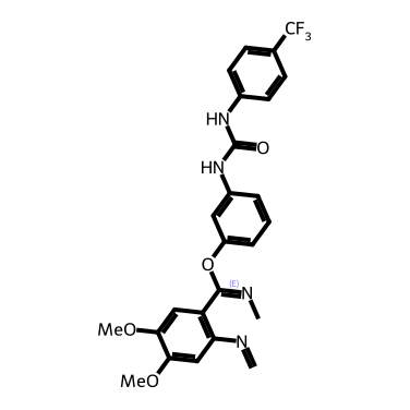 C=Nc1cc(OC)c(OC)cc1/C(=N\C)Oc1cccc(NC(=O)Nc2ccc(C(F)(F)F)cc2)c1